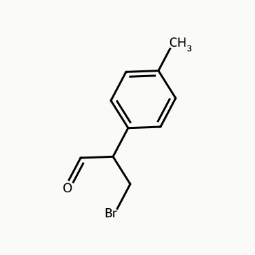 Cc1ccc(C(C=O)CBr)cc1